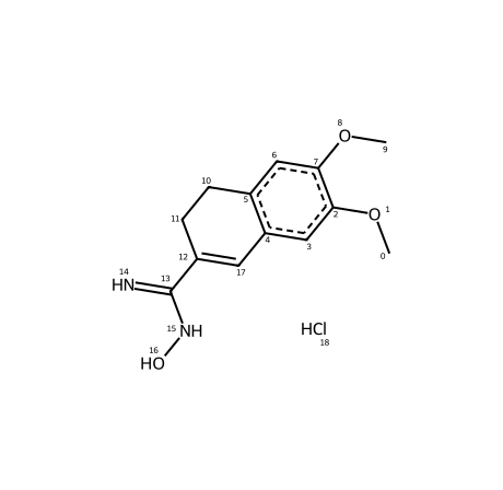 COc1cc2c(cc1OC)CCC(C(=N)NO)=C2.Cl